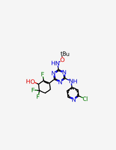 CC(C)(C)ONc1nc(Nc2ccnc(Cl)c2)nc(C2=C(F)C(O)C(F)(F)CC2)n1